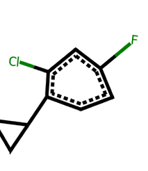 Fc1ccc(C2[CH]C2)c(Cl)c1